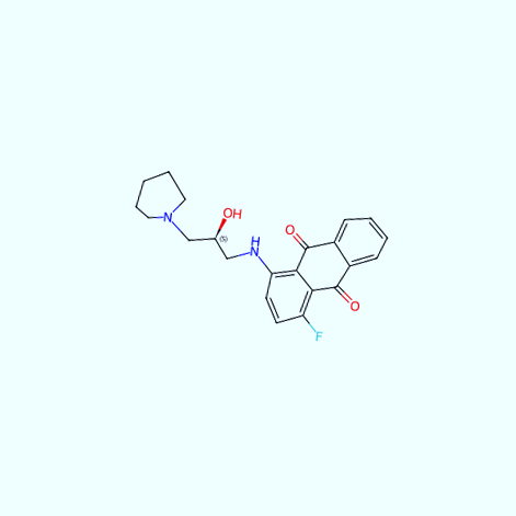 O=C1c2ccccc2C(=O)c2c(NC[C@H](O)CN3CCCCC3)ccc(F)c21